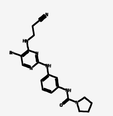 N#CCCNc1nc(Nc2cccc(NC(=O)N3CCCC3)c2)ncc1Br